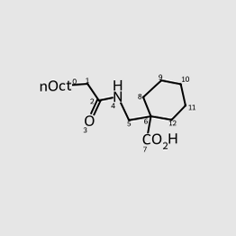 CCCCCCCCCC(=O)NCC1(C(=O)O)CCCCC1